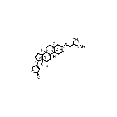 CNC(C)CS[C@H]1CC[C@@]2(C)[C@@H](CC[C@@H]3[C@@H]2CC[C@]2(C)[C@@H](C4=CC(=O)OC4)CC[C@@H]32)C1